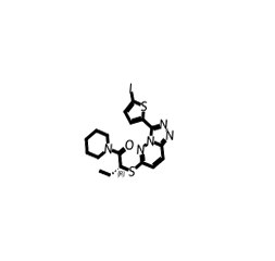 CC[C@@H](Sc1ccc2nnc(-c3ccc(I)s3)n2n1)C(=O)N1CCCCC1